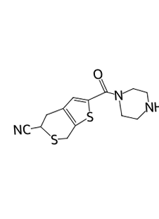 N#CC1Cc2cc(C(=O)N3CCNCC3)sc2CS1